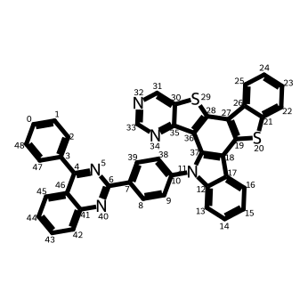 c1ccc(-c2nc(-c3ccc(-n4c5ccccc5c5c6sc7ccccc7c6c6sc7cncnc7c6c54)cc3)nc3ccccc23)cc1